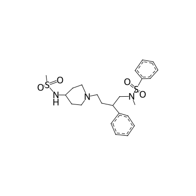 CN(CC(CCN1CCC(NS(C)(=O)=O)CC1)c1ccccc1)S(=O)(=O)c1ccccc1